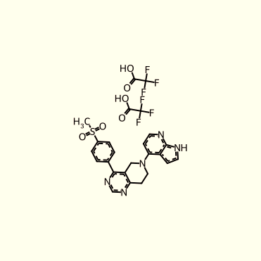 CS(=O)(=O)c1ccc(-c2ncnc3c2CN(c2ccnc4[nH]ccc24)CC3)cc1.O=C(O)C(F)(F)F.O=C(O)C(F)(F)F